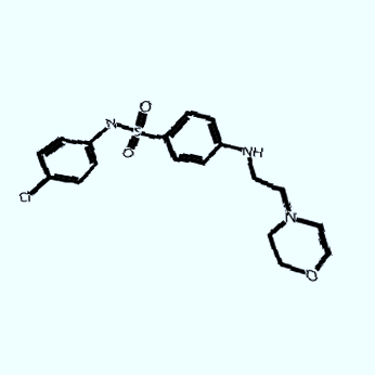 O=S(=O)([N]c1ccc(Cl)cc1)c1ccc(NCCN2CCOCC2)cc1